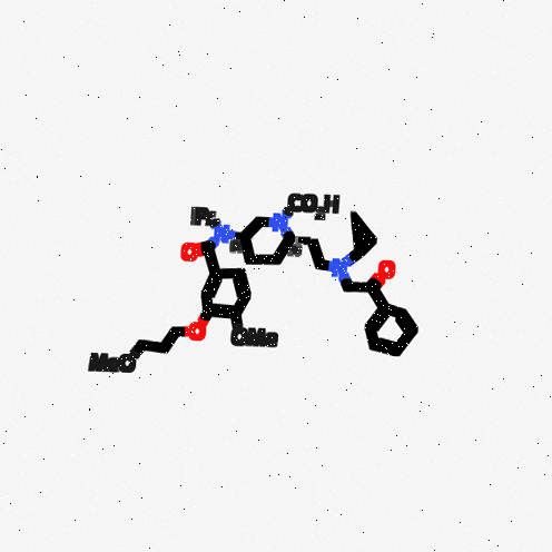 COCCCOc1cc(C(=O)N(C(C)C)[C@@H]2CC[C@@H](CCN(CC(=O)c3ccccc3)C3CC3)N(C(=O)O)C2)ccc1OC